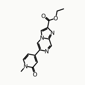 CCOC(=O)c1cn2cc(-c3ccn(C)c(=O)c3)ncc2n1